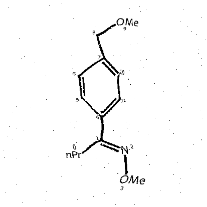 CCCC(=NOC)c1ccc(COC)cc1